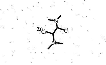 CN(C)C(Cl)C(Cl)N(C)C.[Zn]